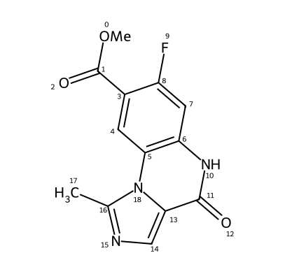 COC(=O)c1cc2c(cc1F)[nH]c(=O)c1cnc(C)n12